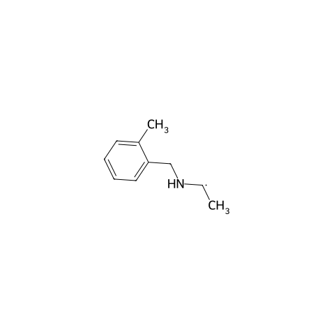 C[CH]NCc1ccccc1C